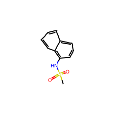 CS(=O)(=O)Nc1cccc2[c]cccc12